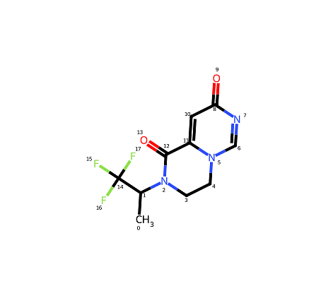 CC(N1CCn2cnc(=O)cc2C1=O)C(F)(F)F